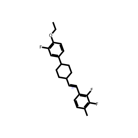 CCOc1ccc(C2CCC(/C=C/c3ccc(C)c(F)c3F)CC2)cc1F